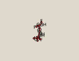 CC(C)c1c(C(=O)Nc2ccccc2)c(-c2ccccc2)c(-c2ccc(F)cc2)n1CC[C@@H](O)C[C@@H](O)CC(=O)OCC(=O)Oc1ccc([C@@H]2[C@@H](CC[C@H](O)c3ccc(F)cc3)C(=O)N2c2ccc(F)cc2)cc1